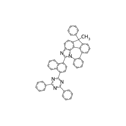 CC1(c2ccccc2)c2cccc3c2-c2c1ccc1nc(-c4ccc(-c5nc(-c6ccccc6)nc(-c6ccccc6)n5)c5ccccc45)n(c21)-c1ccccc1-3